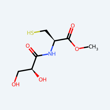 COC(=O)[C@H](CS)NC(=O)[C@@H](O)CO